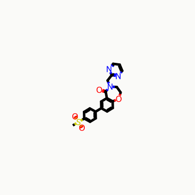 CS(=O)(=O)c1ccc(-c2ccc3c(c2)C(=O)N(Cc2ncccn2)CCO3)cc1